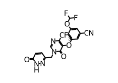 N#Cc1cc(Oc2c(C(F)(F)F)ncn(Cc3ccc(=O)[nH]n3)c2=O)cc(OC(F)F)c1